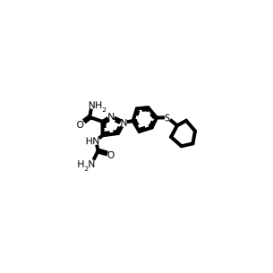 NC(=O)Nc1cn(-c2ccc(SC3CCCCC3)cc2)nc1C(N)=O